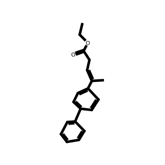 CCOC(=O)CC=C(C)c1ccc(-c2ccccc2)cc1